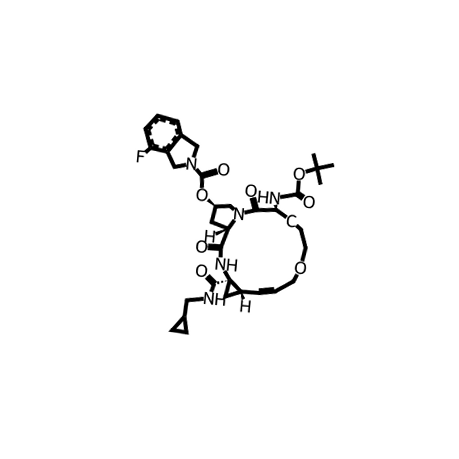 CC(C)(C)OC(=O)N[C@H]1CCCOC/C=C\[C@@H]2C[C@@]2(C(=O)NCC2CC2)NC(=O)[C@@H]2C[C@@H](OC(=O)N3Cc4cccc(F)c4C3)CN2C1=O